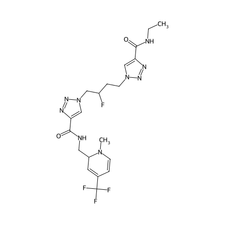 CCNC(=O)c1cn(CCC(F)Cn2cc(C(=O)NCC3C=C(C(F)(F)F)C=CN3C)nn2)nn1